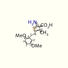 COc1ccc(OC)c(CCc2sc(N)c(C(=O)O)c2C)c1